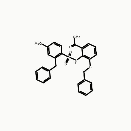 COC(=O)c1cccc(OCc2ccccc2)c1NS(=O)(=O)c1ccc(OC)cc1Cc1ccccc1